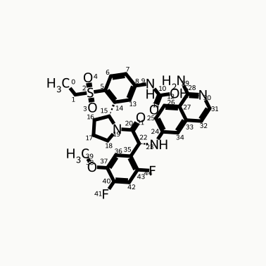 CCS(=O)(=O)c1ccc(NC(=O)O)cc1[C@H]1CCCN1C(=O)[C@H](Nc1ccc2c(N)nccc2c1)c1cc(OC)c(F)cc1F